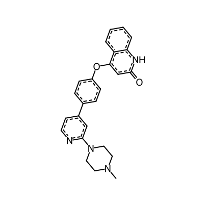 CN1CCN(c2cc(-c3ccc(Oc4cc(=O)[nH]c5ccccc45)cc3)ccn2)CC1